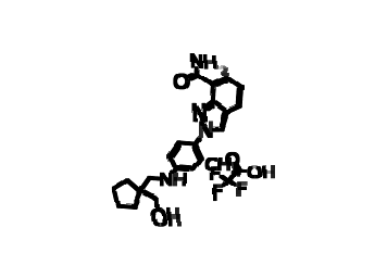 C.NC(=O)c1cccc2cn(-c3ccc(NCC4(CO)CCCC4)cc3)nc12.O=C(O)C(F)(F)F